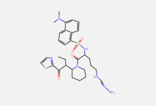 CCC(C(=O)c1nccs1)C1CCCCN1C(=O)C(CCCNC=NN)NS(=O)(=O)c1cccc2c(N(C)C)cccc12